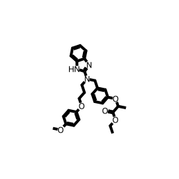 CCOC(=O)C(C)Oc1cccc(CN(CCCOc2ccc(OC)cc2)c2nc3ccccc3[nH]2)c1